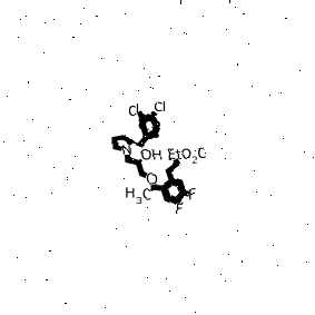 CCOC(=O)CCc1cc(F)c(F)cc1[C@@H](C)OC[C@H](O)CN1CCC[C@H]1Cc1ccc(Cl)c(Cl)c1